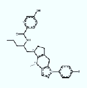 CCCC(C[C@H]1CCC2=C1[C@@H](C)c1cnn(-c3ccc(F)cc3)c1C2)NC(=O)c1ccc(O)cn1